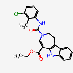 CCOC(=O)C1=CN(C(=O)Nc2cccc(Cl)c2C)CCc2c1[nH]c1ccccc21